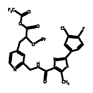 Cc1sc(-c2ccc(F)c(Cl)c2)nc1C(=O)NCc1cc(CC(OC(C)C)C(=O)OC(=O)C(F)(F)F)ccn1